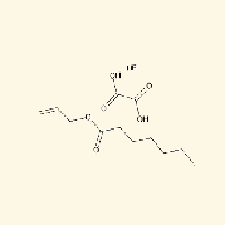 C=CCOC(=O)CCCCCC.F.O=C(O)C(=O)O